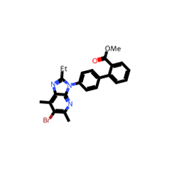 CCc1nc2c(C)c(Br)c(C)nc2n1-c1ccc(-c2ccccc2C(=O)OC)cc1